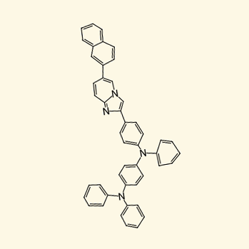 c1ccc(N(c2ccccc2)c2ccc(N(c3ccccc3)c3ccc(-c4cn5cc(-c6ccc7ccccc7c6)ccc5n4)cc3)cc2)cc1